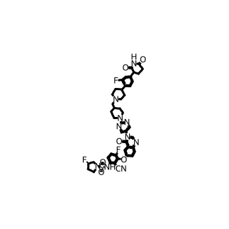 N#Cc1c(NS(=O)(=O)N2CC[C@@H](F)C2)ccc(F)c1Oc1ccc2ncn(-c3cnc(N4CCC(CN5CCC(c6ccc(C7CCC(=O)NC7=O)cc6F)CC5)CC4)nc3)c(=O)c2c1